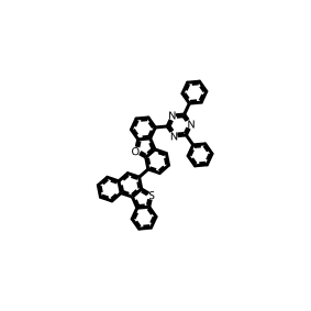 c1ccc(-c2nc(-c3ccccc3)nc(-c3cccc4oc5c(-c6cc7ccccc7c7c6sc6ccccc67)cccc5c34)n2)cc1